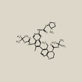 CCc1c(-c2cc3cc(NC(=O)O[C@H]4COC[C@@H]4C)ncc3c(NC(=O)OC(C)(C)C)c2F)cnc2c1N(C(=O)OC(C)(C)C)CCO2